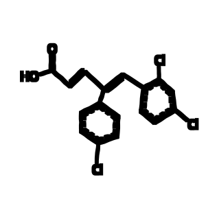 O=C(O)/C=C/C(=C/c1ccc(Cl)cc1Cl)c1ccc(Cl)cc1